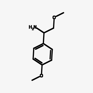 COCC(N)c1ccc(OC)cc1